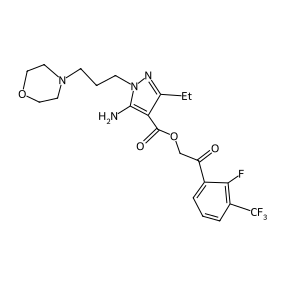 CCc1nn(CCCN2CCOCC2)c(N)c1C(=O)OCC(=O)c1cccc(C(F)(F)F)c1F